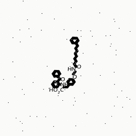 O=C(CCCCCCCCc1ccccc1)NCCOc1ccc(C[C@H](Nc2ccccc2C(=O)c2ccccc2)C(=O)O)cc1